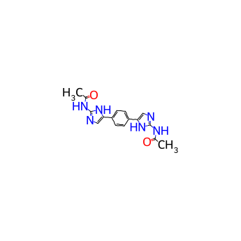 CC(=O)Nc1ncc(-c2ccc(-c3cnc(NC(C)=O)[nH]3)cc2)[nH]1